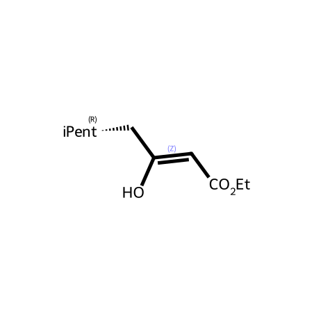 CCC[C@@H](C)C/C(O)=C/C(=O)OCC